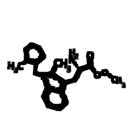 COOC(=O)[C@@H](N)Cc1c(C)n(Cc2ccccc2C)c2ccccc12